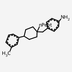 CCCCCC1(Cc2ccc(N)cc2)CCC(c2cccc(C)c2)CC1